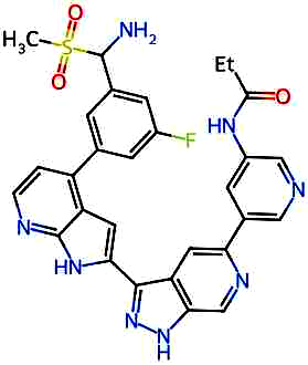 CCC(=O)Nc1cncc(-c2cc3c(-c4cc5c(-c6cc(F)cc(C(N)S(C)(=O)=O)c6)ccnc5[nH]4)n[nH]c3cn2)c1